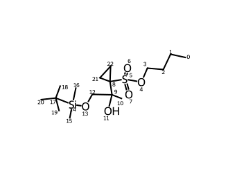 CCCCOS(=O)(=O)C1(C(C)(O)CO[Si](C)(C)C(C)(C)C)CC1